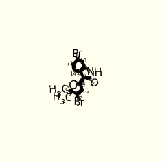 CC1(C)O/C(=C2/C(=O)Nc3cc(Br)ccc32)C=C1Br